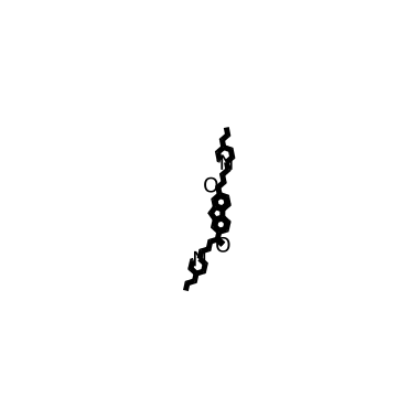 CCCC1CCN(CCCC(=O)c2ccc3c(c2)Cc2cc(C(=O)CCCN4CCC(CCC)CC4)ccc2-3)CC1